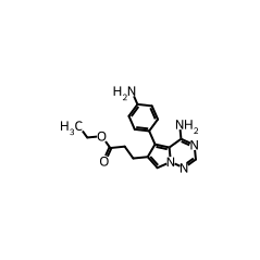 CCOC(=O)CCc1cn2ncnc(N)c2c1-c1ccc(N)cc1